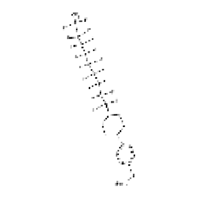 CCCCCOc1ccc([C@H]2CC[C@H](C(F)(F)C(F)(F)C(F)(F)C(F)(F)C(F)(F)C(F)(F)C(F)(F)C(F)(F)C(F)(F)C(F)(F)F)CC2)cc1